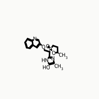 Cc1nc(C(COc2cnc3ccccc3c2)P2(=O)CC[C@@H](C)O2)[nH]c1O